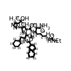 CCNC(=O)NCCCCC(NC(=O)[C@@H]1C[C@H](n2nncc2C(C)(C)O)CN1C(=O)C(CC1CCCCC1)NC(=O)c1ccc2ccccc2c1)C(=O)C(N)=O